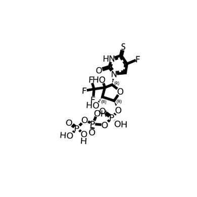 O=c1[nH]c(=S)c(F)cn1[C@@H]1O[C@H](OP(=O)(O)OP(=O)(O)OP(=O)(O)O)[C@H](O)C1(O)C(F)(F)F